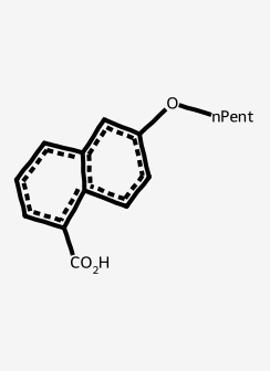 CCCCCOc1ccc2c(C(=O)O)cccc2c1